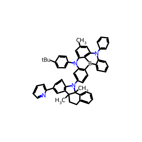 Cc1cc2c3c(c1)N(c1ccc(C(C)(C)C)cc1)c1cc(N4c5ccc(-c6ccccn6)cc5C5(C)CCc6ccccc6C45C)ccc1B3c1ccccc1N2c1ccccc1